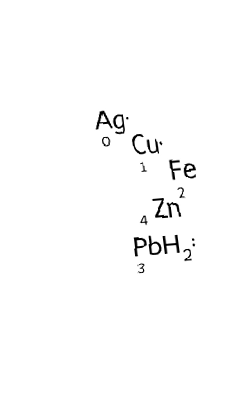 [Ag].[Cu].[Fe].[PbH2].[Zn]